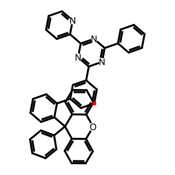 c1ccc(-c2nc(-c3cccc(-c4ccccc4C4(c5ccccc5)c5ccccc5Oc5ccccc54)c3)nc(-c3ccccn3)n2)cc1